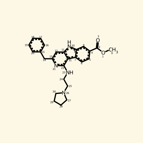 COC(=O)c1ccc2c(c1)[nH]c1cc(Cc3ccccc3)nc(NCCN3CCCC3)c12